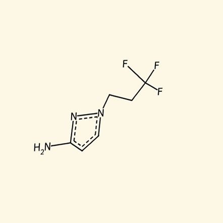 Nc1ccn(CCC(F)(F)F)n1